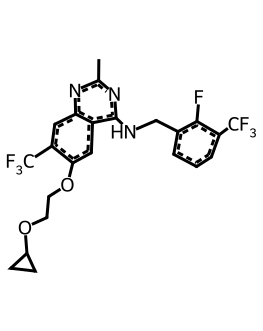 Cc1nc(NCc2cccc(C(F)(F)F)c2F)c2cc(OCCOC3CC3)c(C(F)(F)F)cc2n1